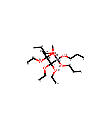 CCCO[Si](OCCC)(OCCC)C(OCC)(OCC)C(C)(OC)OCC